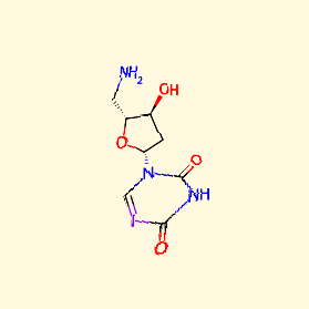 NC[C@H]1O[C@@H](N2C=IC(=O)NC2=O)C[C@@H]1O